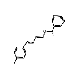 Cc1ccc(C=CC=COC(=O)c2ccccc2)cc1